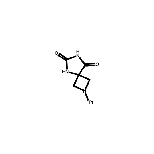 CC(C)N1CC2(C1)NC(=O)NC2=O